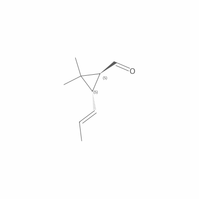 CC=C[C@H]1[C@H](C=O)C1(C)C